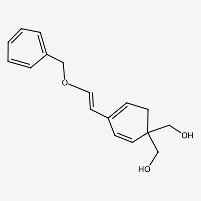 OCC1(CO)C=CC(C=COCc2ccccc2)=CC1